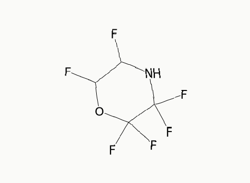 FC1NC(F)(F)C(F)(F)OC1F